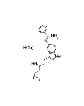 CCCC(=N)CCc1c[nH]c2ccc(N=C(N)c3cccs3)cc12.Cl.Cl